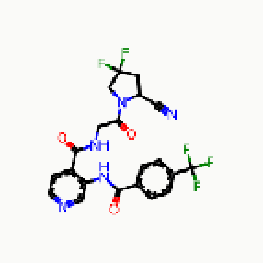 N#CC1CC(F)(F)CN1C(=O)CNC(=O)c1ccncc1NC(=O)c1ccc(C(F)(F)F)cc1